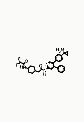 NC1(c2ccc(-c3cnc(NC(=O)CC4CCC(NC(=O)C(F)F)CC4)cc3-c3ccccc3)cc2)CC1